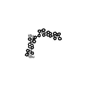 CC(C)(C)c1cc(-c2cccc(-c3cccc4c3oc3c(N(c5ccccc5)c5ccc6ccc7c(N(c8ccccc8)c8cccc9c8oc8c(-c%10ccccc%10)cccc89)ccc8ccc5c6c87)cccc34)c2)cc2c1oc1c(N(C3=CC=C4C=Cc5c(N(c6ccccc6)c6cccc7c6oc6c(C(C)(C)C)cccc67)ccc6c5C4C3C=C6)c3ccccc3)cccc12